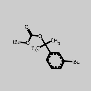 CCC(C)c1cccc(C(C)(OC(=O)OC(C)(C)C)C(F)(F)F)c1